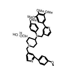 CCOc1ccc(-c2cc(CN3CCC(N(Cc4ccnc(-c5cc(OC)c(OC)c(OC)c5)c4)c4ccc(OC)cc4)CC3)ccn2)cc1.Cl.Cl.Cl